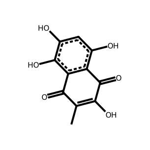 CC1=C(O)C(=O)c2c(O)cc(O)c(O)c2C1=O